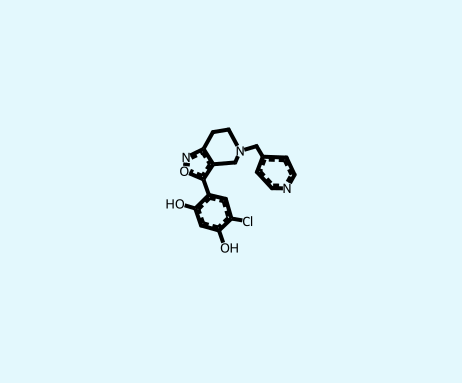 Oc1cc(O)c(-c2onc3c2CN(Cc2ccncc2)CC3)cc1Cl